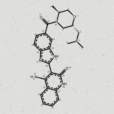 C[C@H]1CO[C@H](CN(C)C)CN1C(=O)c1ccc2nc(-c3c(N)c4ccccc4[nH]c3=O)[nH]c2c1